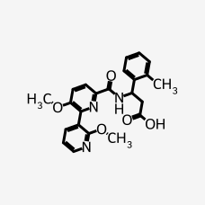 COc1ccc(C(=O)NC(CC(=O)O)c2ccccc2C)nc1-c1cccnc1OC